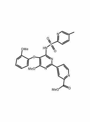 COC(=O)c1cc(-c2nc(NS(=O)(=O)c3ccc(C)cn3)c(Oc3ccccc3OC)c(OC)n2)ccn1